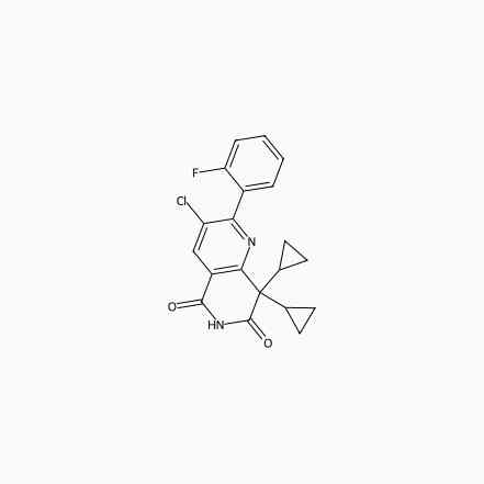 O=C1NC(=O)C(C2CC2)(C2CC2)c2nc(-c3ccccc3F)c(Cl)cc21